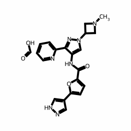 CN1CC(n2cc(NC(=O)c3ccc(-c4cn[nH]c4)o3)c(-c3ccccn3)n2)C1.O=CO